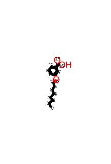 CCCCCCCCOc1cccc(C(=O)O)c1